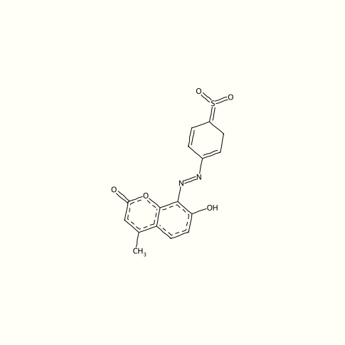 Cc1cc(=O)oc2c(N=NC3=CCC(=S(=O)=O)C=C3)c(O)ccc12